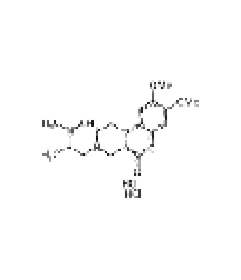 COc1cc2oc(=O)c3c(c2cc1OC)CCN(CC(C)N(C)C)C3.Cl.Cl